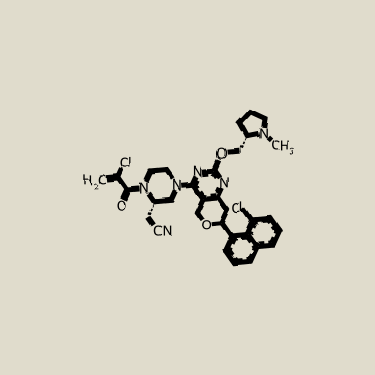 C=C(Cl)C(=O)N1CCN(c2nc(OC[C@@H]3CCCN3C)nc3c2COC(c2cccc4cccc(Cl)c24)C3)C[C@@H]1CC#N